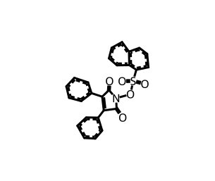 O=C1C(c2ccccc2)=C(c2ccccc2)C(=O)N1OS(=O)(=O)c1cccc2ccccc12